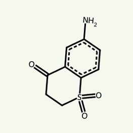 Nc1ccc2c(c1)C(=O)CCS2(=O)=O